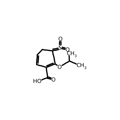 CC(C)OC1=C(C(=O)O)C=CCC1=S(=O)=O